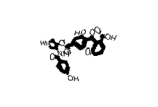 O=C(NC1CNCC1OC(=O)c1cc(O)c(C(=O)c2ccccc2C(=O)O)c(O)c1)c1ccc(O)cc1